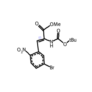 COC(=O)/C(=C/c1cc(Br)ccc1[N+](=O)[O-])NC(=O)OC(C)(C)C